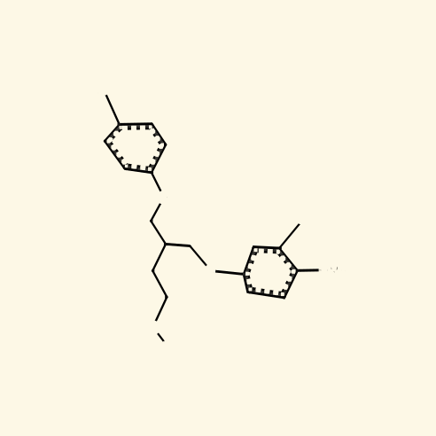 CCOCCC(COc1ccc(C(F)(F)F)cc1)CSc1ccc(OC)c(C)c1